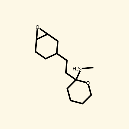 C[SiH2]C1(CCC2CCC3OC3C2)CCCCO1